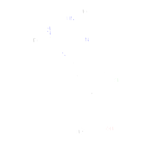 CCNc1nc2cc(Cl)c(C#CC(C)O)cc2nc1NCC